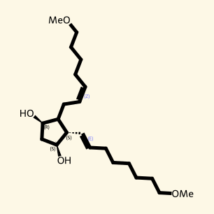 COCCCC/C=C\CC1[C@H](O)C[C@H](O)[C@H]1/C=C/CCCCCCOC